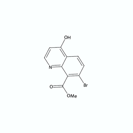 COC(=O)c1c(Br)ccc2c(O)ccnc12